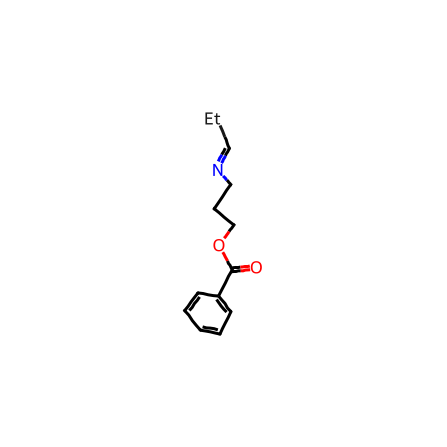 CCC=NCCCOC(=O)c1ccccc1